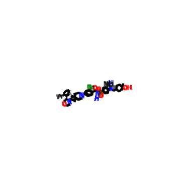 CC(C)c1ccccc1[C@@H]1COCCN1[C@H]1CC2(CCN(c3ccc(C(=O)NS(=O)(=O)c4ccc(NCC5CCC(C)(O)CC5)c([N+](=O)[O-])c4)c(Br)c3)CC2)[C@H]1C